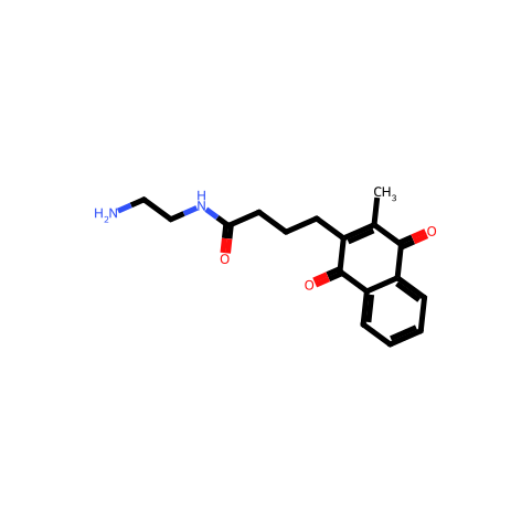 CC1=C(CCCC(=O)NCCN)C(=O)c2ccccc2C1=O